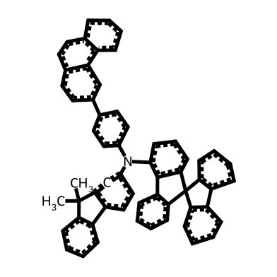 CC1(C)c2ccccc2-c2ccc(N(c3ccc(-c4ccc5ccc6ccccc6c5c4)cc3)c3cccc4c3-c3ccccc3C43c4ccccc4-c4ccccc43)cc21